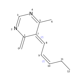 C=c1ncnc(C)/c1=C/C=C\CC